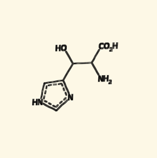 NC(C(=O)O)C(O)c1c[nH]cn1